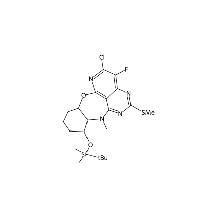 CSc1nc2c3c(nc(Cl)c(F)c3n1)OC1CCCC(O[Si](C)(C)C(C)(C)C)C1N2C